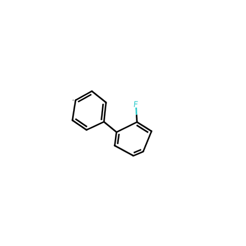 Fc1ccccc1-c1cc[c]cc1